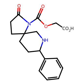 O=C(O)COC(=O)N1C(=O)CCC12CCC(c1ccccc1)NC2